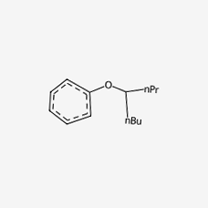 [CH2]CCC(CCCC)Oc1ccccc1